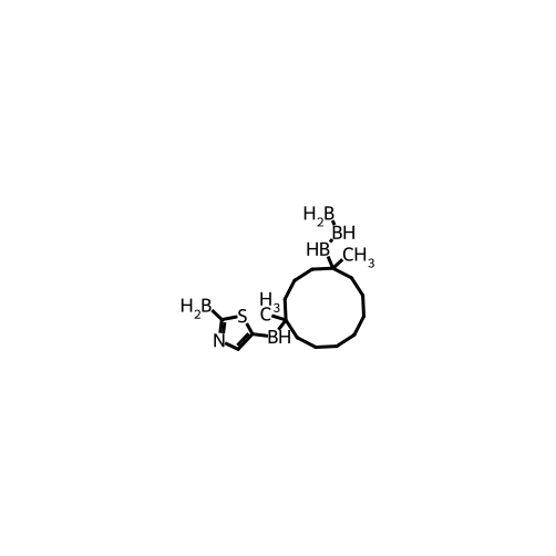 BBBC1(C)CCCCCCCC(C)(Bc2cnc(B)s2)CCC1